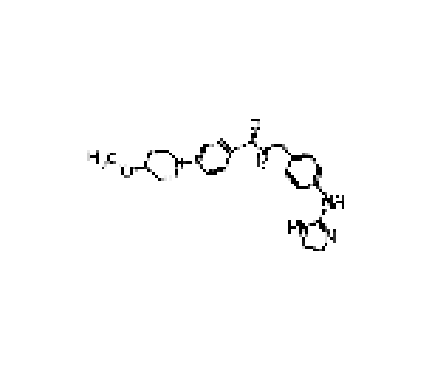 COC1CCN(c2ccc(C(=O)NCc3ccc(NC4=NCCN4)cc3)cc2)CC1